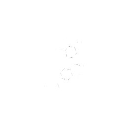 COc1cc(C(=O)c2ccc(C(=O)CBr)cc2F)cc(OC)c1OC